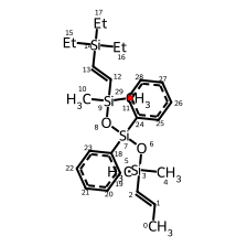 CC=C[Si](C)(C)O[Si](O[Si](C)(C)C=C[Si](CC)(CC)CC)(c1ccccc1)c1ccccc1